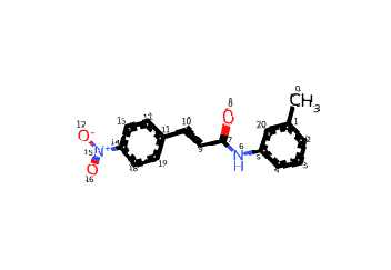 Cc1cccc(NC(=O)C=Cc2ccc([N+](=O)[O-])cc2)c1